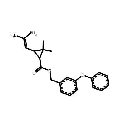 BC(B)=CC1C(C(=O)OCc2cccc(Oc3ccccc3)c2)C1(C)C